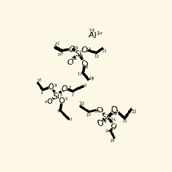 CCO[Si]([O-])(OCC)OCC.CCO[Si]([O-])(OCC)OCC.CCO[Si]([O-])(OCC)OCC.[Al+3]